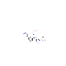 CC(C)(C)OC(=O)NC1=NC2(CS1)c1cc(-c3cccnc3F)ccc1Oc1cnc(C3=CCOCC3)cc12